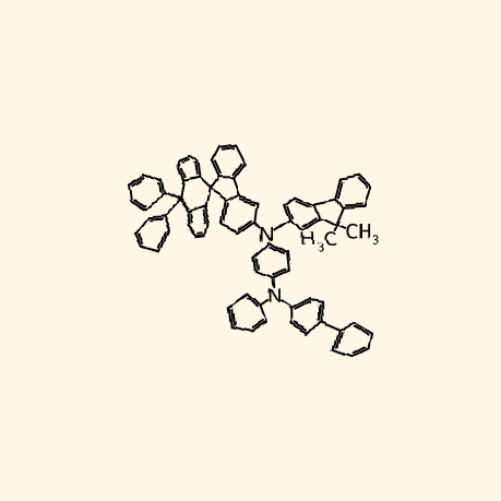 CC1(C)c2ccccc2-c2ccc(N(c3ccc(N(c4ccccc4)c4ccc(-c5ccccc5)cc4)cc3)c3ccc4c(c3)-c3ccccc3C43c4ccccc4C(c4ccccc4)(c4ccccc4)c4ccccc43)cc21